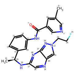 Cc1cncc(C(=O)Nc2cccc([C@H](C)Nc3cnc4cn(CCF)nc4n3)c2)c1